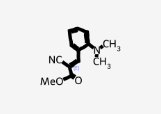 COC(=O)/C(C#N)=C/c1ccccc1N(C)C